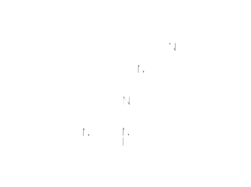 Cc1cccc(-c2nc(-c3c(C4CC4)ccc4nccnc34)c[nH]2)n1